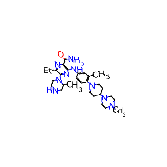 CCc1nc(C(N)=O)c(Nc2ccc(N3CCC(N4CCN(C)CC4)CC3)c(C)c2)nc1N1CCNC[C@@H]1C